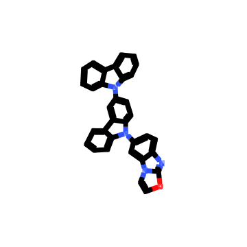 c1ccc2c(c1)c1ccccc1n2-c1ccc2c(c1)c1ccccc1n2-c1ccc2nc3occn3c2c1